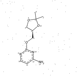 CC1(C)OC[C@H](COc2nccc(N)n2)O1